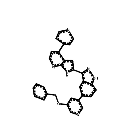 c1ccc(COc2cncc(-c3ccc4[nH]nc(-c5cc6c(-c7ccncc7)ccnc6[nH]5)c4c3)c2)cc1